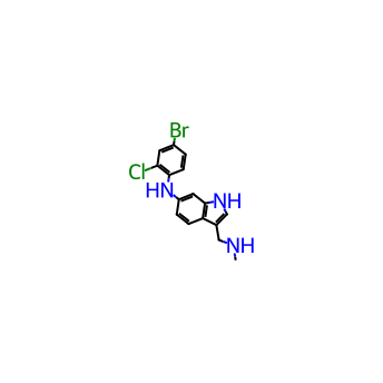 CNCc1c[nH]c2cc(Nc3ccc(Br)cc3Cl)ccc12